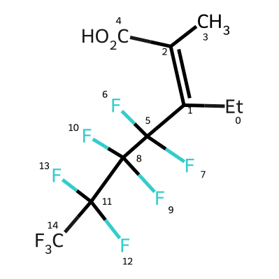 CCC(=C(C)C(=O)O)C(F)(F)C(F)(F)C(F)(F)C(F)(F)F